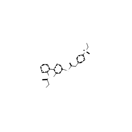 CCS(=O)(=O)c1ccc(CC(=O)Nc2ccc(-c3ccccc3NC(=O)CCl)c(C)c2)cc1